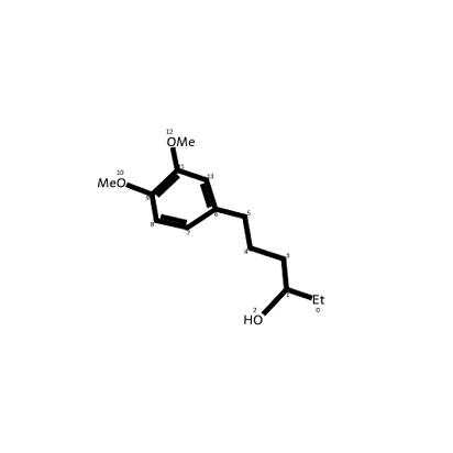 CCC(O)CCCc1ccc(OC)c(OC)c1